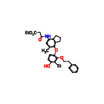 CCOC(=O)CC(=O)Nc1cc(C)c(Oc2ccc(O)c(CC)c2OCCc2ccccc2)c2c1CCC2